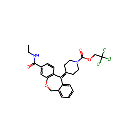 CCNC(=O)c1ccc2c(c1)OCc1ccccc1C2=C1CCN(C(=O)OCC(Cl)(Cl)Cl)CC1